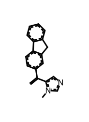 C=C(c1ccc2c(c1)Cc1ccccc1-2)c1cncn1C